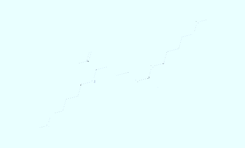 N=C(NCCCC(NC(=O)CCCON(O)O)C(=O)O)NC(=O)CCCON(O)O